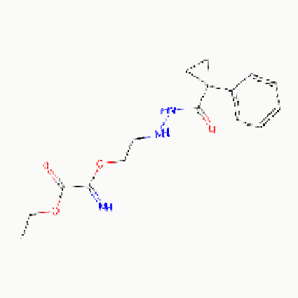 CCOC(=O)C(=N)OCCNNC(=O)C1(c2ccccc2)CC1